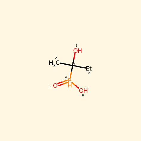 CCC(C)(O)[PH](=O)O